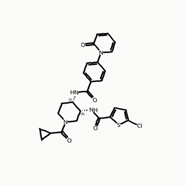 O=C(N[C@H]1CCN(C(=O)C2CC2)C[C@H]1NC(=O)c1ccc(Cl)s1)c1ccc(-n2ccccc2=O)cc1